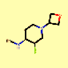 CC(C)N[C@H]1CCN(C2COC2)C[C@H]1F